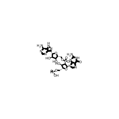 Nc1nc2c(ncn2[C@@H]2O[C@H](CO[PH](=O)O)[C@@H](O)[C@H]2P(=O)(O)OC[C@H]2O[C@@H](c3n[nH]c4c(N)ncnc34)[C@H](O)[C@@H]2O)c(=O)[nH]1